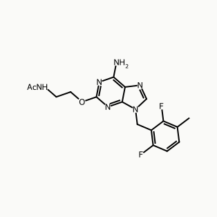 CC(=O)NCCOc1nc(N)c2ncn(Cc3c(F)ccc(C)c3F)c2n1